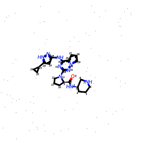 O=C(N[C@@H]1CCCNC1)[C@H]1CCCN1c1nc(Nc2cc(C3CC3)[nH]n2)c2cccn2n1